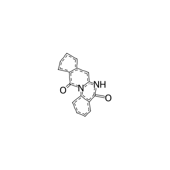 O=c1[nH]c2cc3ccccc3c(=O)n2c2ccccc12